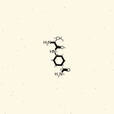 C[C@@H](N)C(=O)N[C@H]1CC[C@H](C(N)=O)CC1